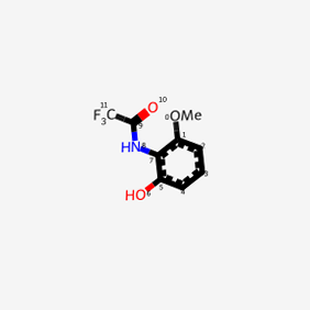 COc1cccc(O)c1NC(=O)C(F)(F)F